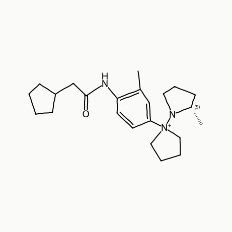 Cc1cc([N+]2(N3CCC[C@@H]3C)CCCC2)ccc1NC(=O)CC1CCCC1